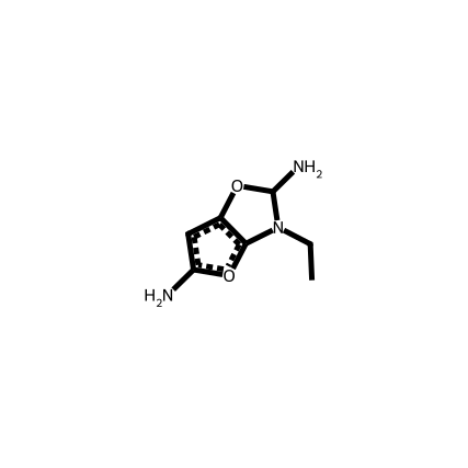 CCN1c2oc(N)cc2OC1N